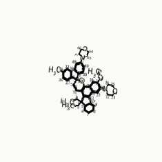 CCC1(CC)c2ccccc2-c2c1c1c(c3cc(OC)c(N4CCOCC4)cc23)OC(c2ccc(C)cc2)(c2ccc(N3CCOCC3)cc2)C=C1